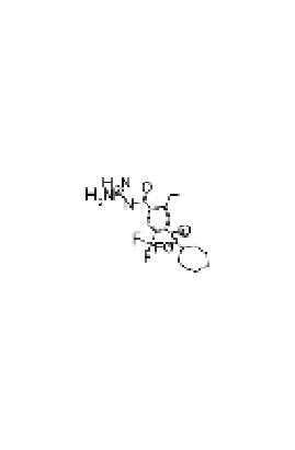 CCc1cc(S(=O)(=O)C2CCCCCC2)c(C(F)(F)F)cc1C(=O)N=C(N)N